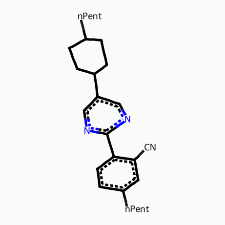 CCCCCc1ccc(-c2ncc(C3CCC(CCCCC)CC3)cn2)c(C#N)c1